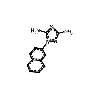 Nc1nc(N)n(-c2ccc3ccccc3c2)n1